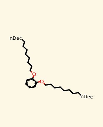 CCCCCCCCCCCCCCCCCCOc1ccccc1OCCCCCCCCCCCCCCCCCC